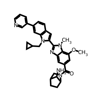 COc1cc(C(=O)N2CC3CCC2C3N)cc2nc(-c3cc4ccc(-c5cccnc5)cc4n3CC3CC3)n(C)c12